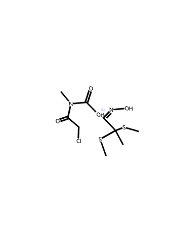 CN(C(=O)O)C(=O)CCl.CSC(C)(/C=N\O)SC